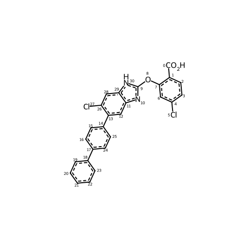 O=C(O)c1ccc(Cl)cc1Oc1nc2cc(-c3ccc(-c4ccccc4)cc3)c(Cl)cc2[nH]1